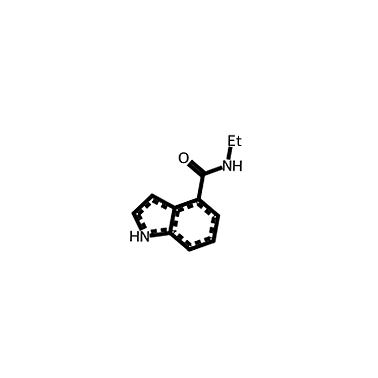 CCNC(=O)c1cccc2[nH]ccc12